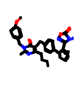 CCCCc1nc(C)n(Cc2ccc(OC)cc2)c(=O)c1Cc1ccc(-c2ccccc2-c2noc(=O)[nH]2)cc1